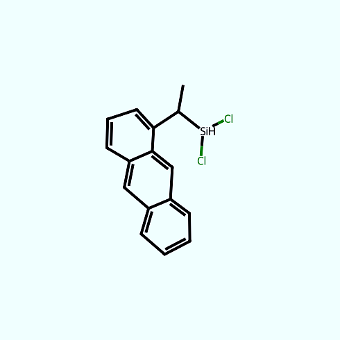 CC(c1cccc2cc3ccccc3cc12)[SiH](Cl)Cl